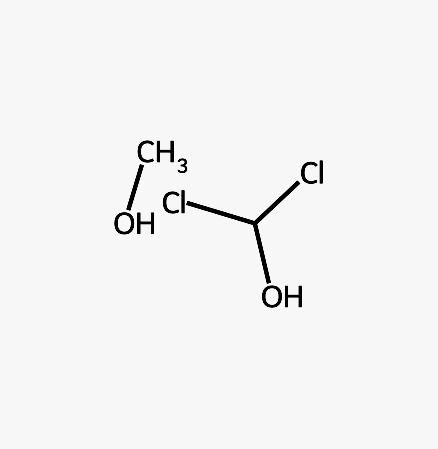 CO.OC(Cl)Cl